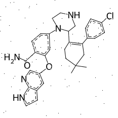 CC1(C)CCC(C2CNCCN2c2ccc(C(N)=O)c(Oc3cnc4[nH]ccc4c3)c2)=C(c2ccc(Cl)cc2)C1